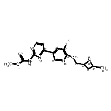 COC(=O)Nc1nccc(-c2cnc(OCC3CC(C)N3)c(F)c2)n1